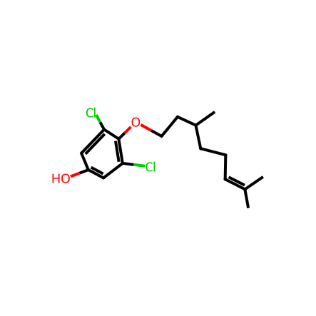 CC(C)=CCCC(C)CCOc1c(Cl)cc(O)cc1Cl